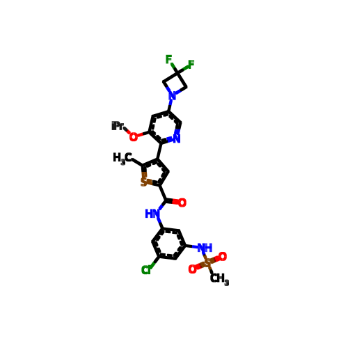 Cc1sc(C(=O)Nc2cc(Cl)cc(NS(C)(=O)=O)c2)cc1-c1ncc(N2CC(F)(F)C2)cc1OC(C)C